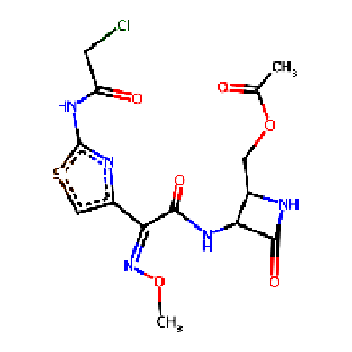 CO/N=C(\C(=O)NC1C(=O)NC1COC(C)=O)c1csc(NC(=O)CCl)n1